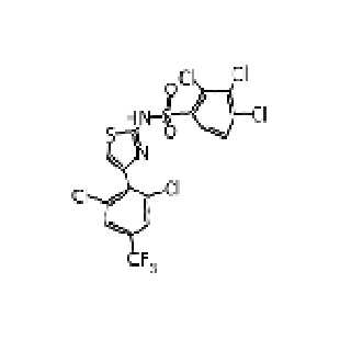 O=S(=O)(Nc1nc(-c2c(Cl)cc(C(F)(F)F)cc2Cl)cs1)c1ccc(Cl)c(Cl)c1Cl